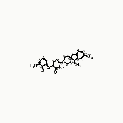 C[C@@H]1C(=O)C(Sc2ccnc(N)c2Cl)=CN=C1N1CCC2(CC1)Cc1ccc(C(F)(F)F)cc1C2N